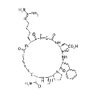 NC(=O)[C@@H]1CSSCCC(=O)N[C@@H](CCCCN=C(N)N)C(=O)NCC(=O)N[C@@H](CC(=O)O)C(=O)N/C(=C/c2ccccc2)C(=O)N2CCC[C@H]2C(=O)N1